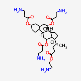 C[C@H](CCC(=O)OCCN)C1CC[C@H]2C3[C@H](OC(=O)CCN)CC4C[C@H](OC(=O)CCN)CC[C@]4(C)[C@H]3C[C@H](OC(=O)CCN)[C@]12C